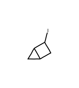 IC1CC2CC12